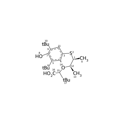 C[C@H](Sc1cc(C(C)(C)C)c(O)c(C(C)(C)C)c1)[C@@H](C)OC(C(=O)O)C(C)(C)C